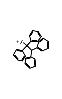 [CH2]C([C](c1ccccc1)c1ccccc1)(c1ccccc1)c1ccccc1